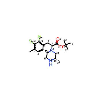 Cc1ccc(C[C@@H](C(=O)OC(C)(C)C)N2CCN[C@@H](C)C2)c(F)c1F